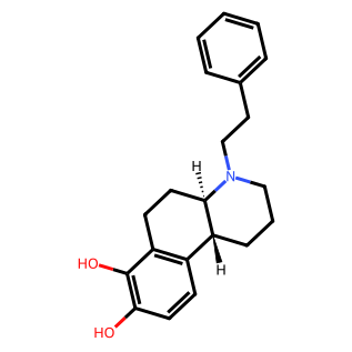 Oc1ccc2c(c1O)CC[C@@H]1[C@@H]2CCCN1CCc1ccccc1